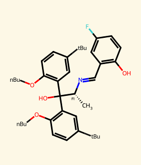 CCCCOc1ccc(C(C)(C)C)cc1C(O)(c1cc(C(C)(C)C)ccc1OCCCC)[C@@H](C)N=Cc1cc(F)ccc1O